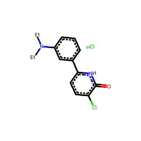 CCN(CC)c1cccc(-c2ccc(Cl)c(=O)[nH]2)c1.Cl